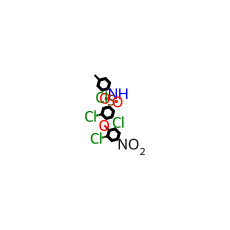 Cc1ccc(NS(=O)(=O)c2cc(Cl)c(Oc3ccc([N+](=O)[O-])cc3Cl)c(Cl)c2)c(Cl)c1